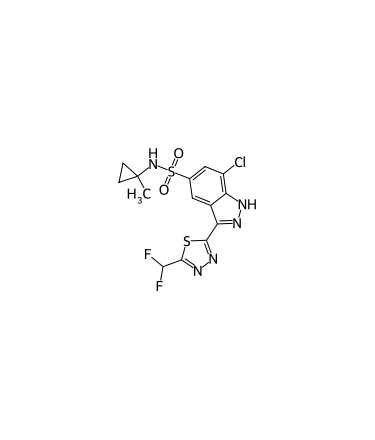 CC1(NS(=O)(=O)c2cc(Cl)c3[nH]nc(-c4nnc(C(F)F)s4)c3c2)CC1